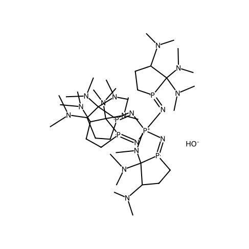 CN(C)C1CC[P](=N[P+](N=[P]2CCC(N(C)C)C2(N(C)C)N(C)C)(N=[P]2CCC(N(C)C)C2(N(C)C)N(C)C)N=[P]2CCC(N(C)C)C2(N(C)C)N(C)C)C1(N(C)C)N(C)C.[OH-]